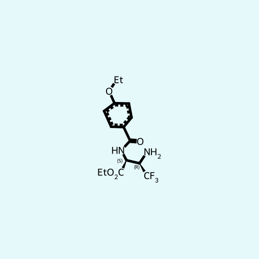 CCOC(=O)[C@@H](NC(=O)c1ccc(OCC)cc1)[C@@H](N)C(F)(F)F